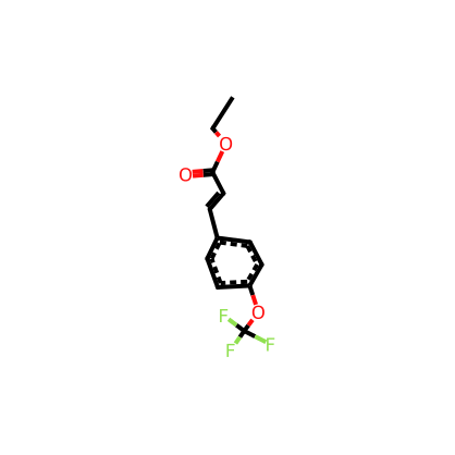 CCOC(=O)C=Cc1ccc(OC(F)(F)F)cc1